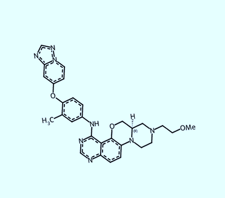 COCCN1CCN2c3ccc4ncnc(Nc5ccc(Oc6ccn7ncnc7c6)c(C)c5)c4c3OC[C@H]2C1